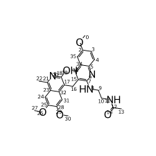 COc1ccc2nc(NCCNC(C)=O)c(Cc3c(O)nc(C)c4cc(OC)c(OC)cc34)cc2c1